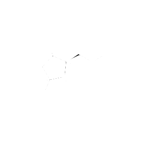 COC[C@@H]1CCC(C)O1